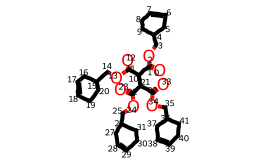 O=C(OCC1CC=CCC1)C(C(=O)OCC1CC=CCC1)C(C(=O)OCC1CC=CCC1)C(=O)OCC1CC=CCC1